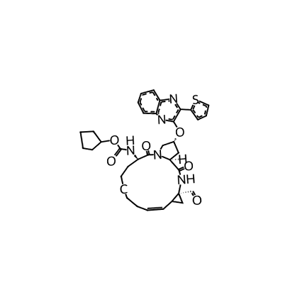 O=C[C@]12CC1/C=C\CCCCC[C@@H](NC(=O)OC1CCCC1)C(=O)N1C[C@H](Oc3nc4ccccc4nc3-c3cccs3)C[C@H]1C(=O)N2